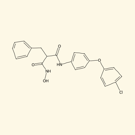 O=C(NO)C(Cc1ccccc1)C(=O)Nc1ccc(Oc2ccc(Cl)cc2)cc1